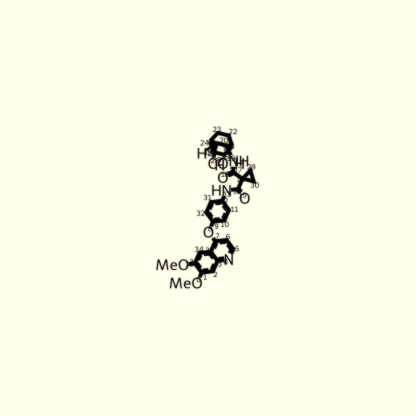 COc1cc2nccc(Oc3ccc(NC(=O)C4(C(=O)N[C@@H]5C6CCC(CC6)[C@H]5C(=O)O)CC4)cc3)c2cc1OC